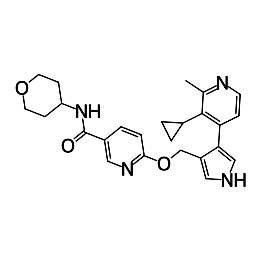 Cc1nccc(-c2c[nH]cc2COc2ccc(C(=O)NC3CCOCC3)cn2)c1C1CC1